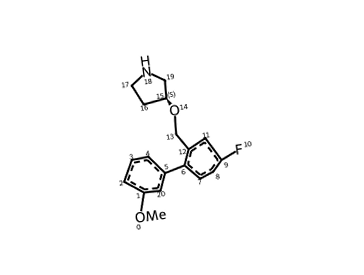 COc1cccc(-c2ccc(F)cc2CO[C@H]2CCNC2)c1